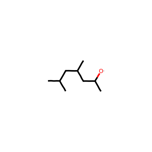 CC(C)CC(C)CC(C)[O]